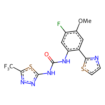 COc1cc(-c2nccs2)c(NC(=O)Nc2nnc(C(F)(F)F)s2)cc1F